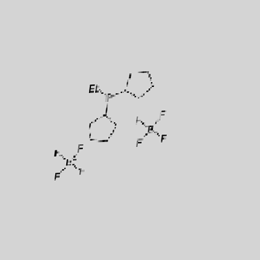 CCP(C1CCCC1)C1CCCC1.F[B-](F)(F)F.F[B-](F)(F)F